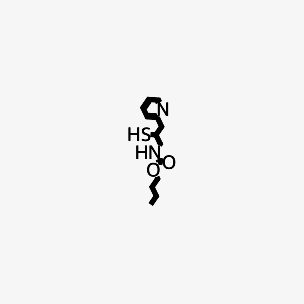 CCCCOC(=O)NCC(S)Cc1ccccn1